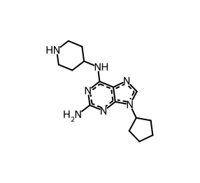 Nc1nc(NC2CCNCC2)c2ncn(C3CCCC3)c2n1